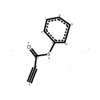 C#CC(=O)Sc1ccccc1